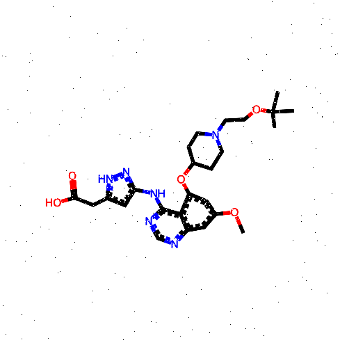 COc1cc(OC2CCN(CCOC(C)(C)C)CC2)c2c(Nc3cc(CC(=O)O)[nH]n3)ncnc2c1